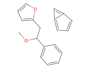 COC(Cc1ccco1)c1ccccc1.c1cc2cc-2c1